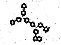 Cc1cc(C)cc(-c2cccc(N(c3ccc(-c4ccc(N(c5ccc(-c6ccccc6)cc5)c5ccc(-c6ccccc6)cc5)cc4)cc3)c3ccc(-c4cccc5ccccc45)cc3)c2)c1